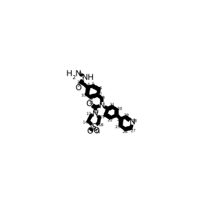 NNC(=O)c1ccc(CN(C(=O)N2CCS(=O)(=O)CC2)c2ccc(-c3cccnc3)cc2)cc1